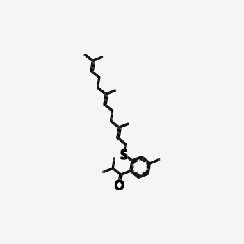 CC(C)=CCC/C(C)=C/CC/C(C)=C/CSc1cc(C)ccc1C(=O)C(C)C